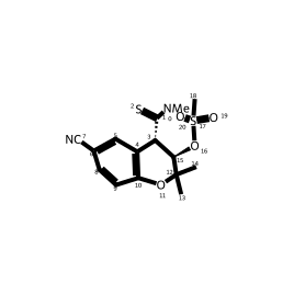 CNC(=S)[C@H]1c2cc(C#N)ccc2OC(C)(C)[C@@H]1OS(C)(=O)=O